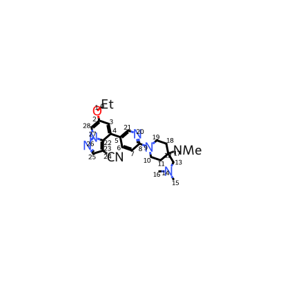 CCOc1cc(-c2ccc(N3CCC(CN(C)C)(NC)CC3)nc2)c2c(C#N)cnn2c1